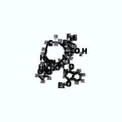 CCOc1cnc(O[C@@H]2C[C@H]3C(=O)N[C@]4(C(=O)NS(=O)(=O)C5(C)CC5)C[C@H]4/C=C\CC[C@H](C)C[C@@H](CC)[C@H](N(C(=O)O)C(C)(C)C(F)F)C(=O)N3C2)c2ccccc12